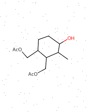 CC(=O)OCC1CCC(O)C(C)C1COC(C)=O